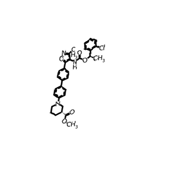 COC(=O)[C@@H]1CCCN(c2ccc(-c3ccc(-c4onc(C)c4NC(=O)O[C@H](C)c4ccccc4Cl)cc3)cc2)C1